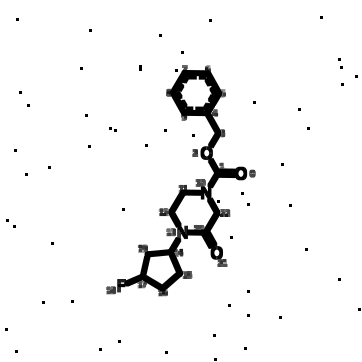 O=C(OCc1ccccc1)N1CCN(C2CCC(F)C2)C(=O)C1